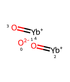 [O-2].[O]=[Yb+].[O]=[Yb+]